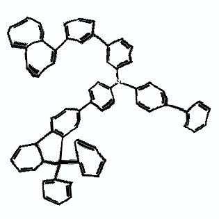 C1=CC2c3ccc(-c4ccc(N(c5ccc(-c6ccccc6)cc5)c5cccc(-c6cccc(-c7cccc8ccccc78)c6)c5)cc4)cc3C(c3ccccc3)(c3ccccc3)C2C=C1